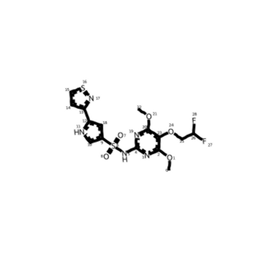 COc1nc(NS(=O)(=O)c2c[nH]c(-c3ccsn3)c2)nc(OC)c1OCC(F)F